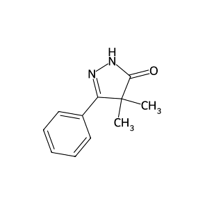 CC1(C)C(=O)NN=C1c1ccccc1